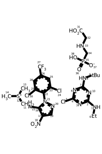 CCNc1nc(Cl)nc(NC(C)(C)C)n1.C[S+](C)C.Nc1c([N+](=O)[O-])cnn1-c1c(Cl)cc(C(F)(F)F)cc1Cl.O=C(O)CNCP(=O)([O-])O